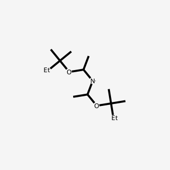 CCC(C)(C)OC(C)[N]C(C)OC(C)(C)CC